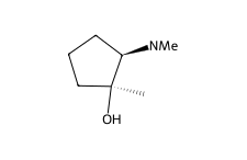 [CH2]N[C@@H]1CCC[C@]1(C)O